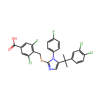 CC(C)(c1ccc(Cl)c(Cl)c1)c1cnc(SCc2c(F)cc(C(=O)O)cc2Cl)n1-c1ccc(F)cc1